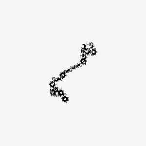 CCc1cnn2c(NCc3ccc(OCCOCCOCCOC4CCN(C/C=C/C(=O)N5CCC[C@@H](n6nc(-c7ccc(Oc8ccccc8)cc7)c7c(N)ncnc76)C5)CC4)nc3)cc(N3CCCC[C@H]3CCO)nc12